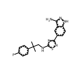 CC(C)(CNc1nc(-c2ccc3[nH]nc(N)c3c2)ns1)c1ccc(F)cc1